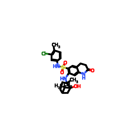 Cc1ccc(NS(=O)(=O)c2cc3c(cc2NC2(C)CCC4CC2(O)C4(C)C)NC(=O)CC3)cc1Cl